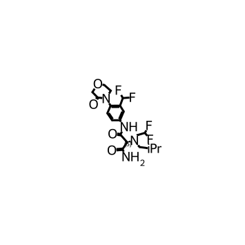 CC(C)CN(CC(F)F)[C@@H](C(N)=O)C(=O)Nc1ccc(N2CCOCC2=O)c(C(F)F)c1